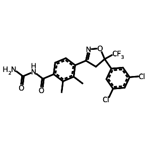 Cc1c(C(=O)NC(N)=O)ccc(C2=NOC(c3cc(Cl)cc(Cl)c3)(C(F)(F)F)C2)c1C